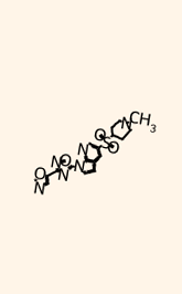 CN1CCC(S(=O)(=O)c2cnc3c(ccn3-c3nc(-c4cnco4)no3)c2)CC1